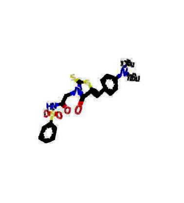 CCCCN(CCCC)c1ccc(/C=C2\SC(=S)N(CC(=O)NS(=O)(=O)c3ccccc3)C2=O)cc1